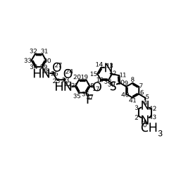 CN1CCN(Cc2ccc(-c3cc4nccc(Oc5ccc(NC(=O)CC(=O)Nc6ccccc6)cc5F)c4s3)cc2)CC1